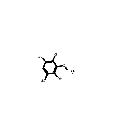 CC(C)(C)c1cc(C(C)(C)C)c(Cl)c(OC(=O)O)c1O